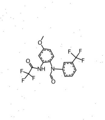 COc1ccc(N(C=O)c2cccc(C(F)(F)F)c2)c(NC(=O)C(F)(F)F)c1